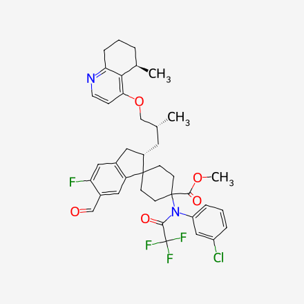 COC(=O)C1(N(C(=O)C(F)(F)F)c2cccc(Cl)c2)CCC2(CC1)c1cc(C=O)c(F)cc1C[C@@H]2C[C@@H](C)COc1ccnc2c1[C@H](C)CCC2